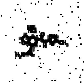 Cc1nnc(NC(=O)c2cc3c(c(C4CC4N)c2)OCC3)s1.Cl.Cl